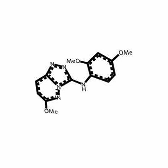 COc1ccc(Nc2nnc3ccc(OC)nn23)c(OC)c1